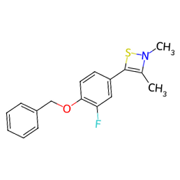 Cc1c(-c2ccc(OCc3ccccc3)c(F)c2)sn1C